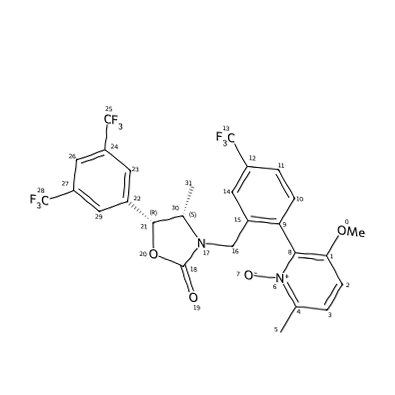 COc1ccc(C)[n+]([O-])c1-c1ccc(C(F)(F)F)cc1CN1C(=O)O[C@H](c2cc(C(F)(F)F)cc(C(F)(F)F)c2)[C@@H]1C